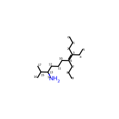 CCC/C(CC)=C(/CCC)CCCC(N)C(C)C